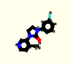 Cc1ccncc1N1CCN(c2cccc(F)c2)C1=O